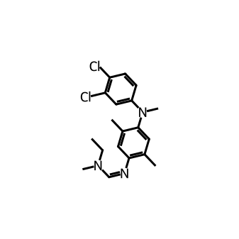 CCN(C)/C=N\c1cc(C)c(N(C)c2ccc(Cl)c(Cl)c2)cc1C